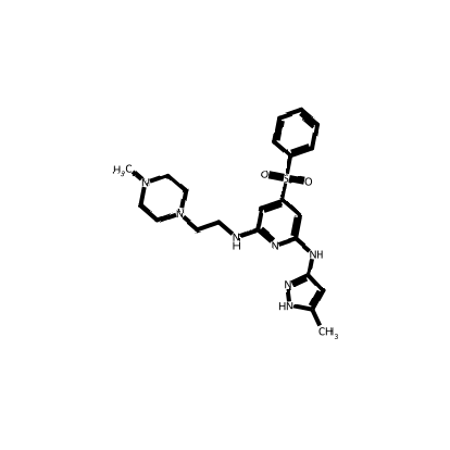 Cc1cc(Nc2cc(S(=O)(=O)c3ccccc3)cc(NCCN3CCN(C)CC3)n2)n[nH]1